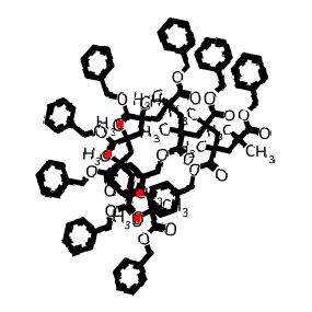 CC(C)(CC(C)(CC(C)(CC(C)(CC(C)(CC(C)(CC(C)(CC(C)(CC(C)(CC(C)(C)C(=O)OCc1ccccc1)C(=O)OCc1ccccc1)C(=O)OCc1ccccc1)C(=O)OCc1ccccc1)C(=O)OCc1ccccc1)C(=O)OCc1ccccc1)C(=O)OCc1ccccc1)C(=O)OCc1ccccc1)C(=O)OCc1ccccc1)C(=O)OCc1ccccc1